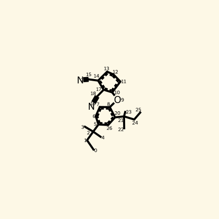 CCC(C)(C)c1ccc(Oc2cccc(C#N)c2C#N)c(C(C)(C)CC)c1